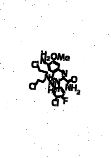 COc1cc2c(cc1N)C(Nc1ccc(F)c(Cl)c1)(N(CCCl)CCCl)NC(C(N)=O)=N2